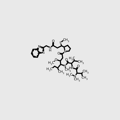 CCC(C)C(C(CC(=O)N1CCCC1C(CC(=O)NCc1nc2ccccc2s1)SC)OC)N(C)C(=O)C(NC(=O)C(C(C)C)N(C)C)C(C)C